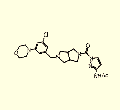 CC(=O)Nc1ccn(C(=O)N2CC3CN(Cc4cc(Cl)cc(N5CCOCC5)c4)CC3C2)n1